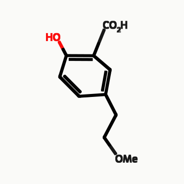 COCCc1ccc(O)c(C(=O)O)c1